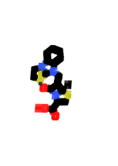 O=C(O)C1=CS[C@@H]2C(=CN3c4ccccc4N4CC[SH]C34)C(=O)N12